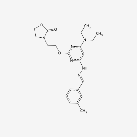 CCN(CC)c1cc(NN=Cc2cccc(C)c2)nc(OCCN2CCOC2=O)n1